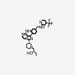 CC[C@H](O)CN1CCC[C@@H](c2nc(-c3ccc(CNc4cc(C(F)(F)F)ccn4)cc3)c3c(N)nccn23)C1